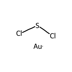 ClSCl.[Au]